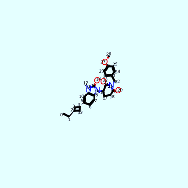 CC[C@H]1C[C@H](c2ccc3c(c2)n(C)c(=O)n3C2CCC(=O)N(Cc3ccc(OC)cc3)C2=O)C1